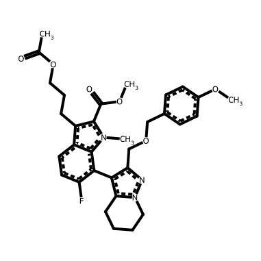 COC(=O)c1c(CCCOC(C)=O)c2ccc(F)c(-c3c(COCc4ccc(OC)cc4)nn4c3CCCC4)c2n1C